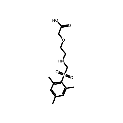 Cc1cc(C)c(S(=O)(=O)CNCCOCC(=O)O)c(C)c1